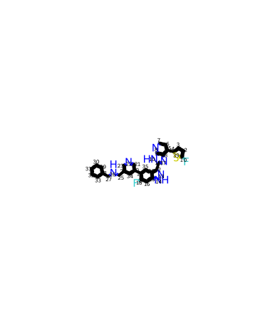 Fc1ccc(-c2ccnc3[nH]c(-c4n[nH]c5cc(F)c(-c6cncc(CNCc7ccccc7)c6)cc45)nc23)s1